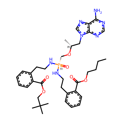 CCCCOC(=O)c1ccccc1CCN[P@@](=O)(CO[C@H](C)Cn1cnc2c(N)ncnc21)NCCc1ccccc1C(=O)OCC(C)(C)C